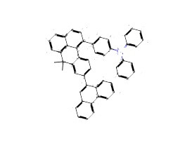 CC1(C)c2cc(-c3cc4ccccc4c4ccccc34)ccc2-c2c(-c3ccc(N(c4ccccc4)c4ccccc4)cc3)ccc3cccc1c23